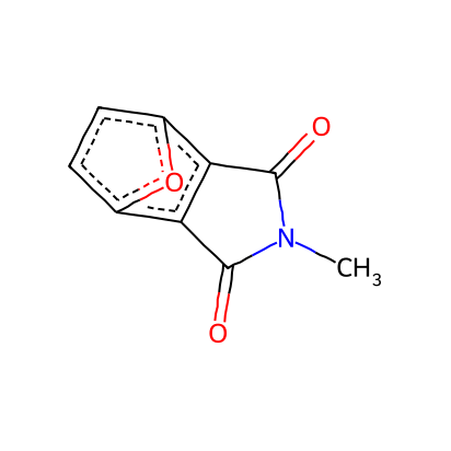 CN1C(=O)c2c(c3ccc2o3)C1=O